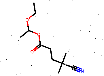 CCOC(C)OC(=O)CCC(C)(C)C#N